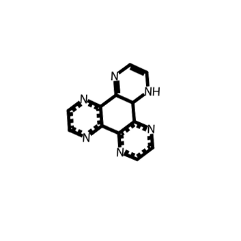 C1=CNC2C(=N1)c1nccnc1-c1nccnc12